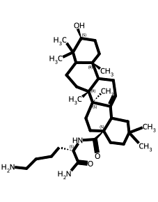 CC1(C)CC[C@]2(C(=O)N[C@@H](CCCCN)C(N)=O)CC[C@]3(C)C(=CCC4[C@@]5(C)CC[C@H](O)C(C)(C)C5CC[C@]43C)C2C1